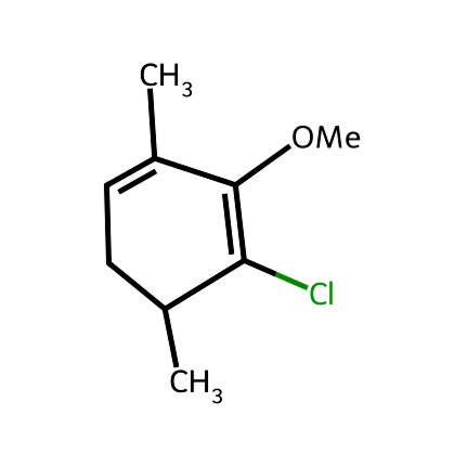 COC1=C(Cl)C(C)CC=C1C